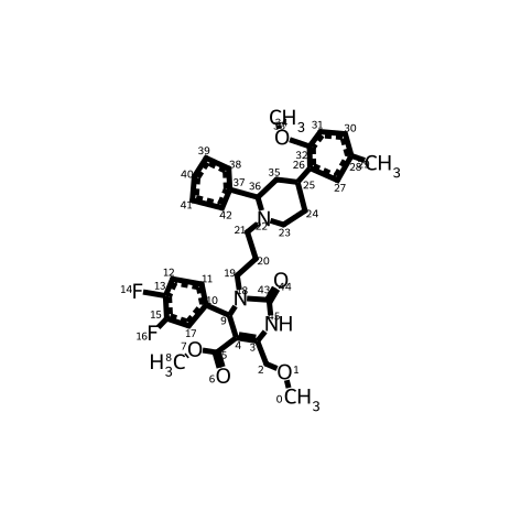 COCC1=C(C(=O)OC)C(c2ccc(F)c(F)c2)N(CCCN2CCC(c3cc(C)ccc3OC)CC2c2ccccc2)C(=O)N1